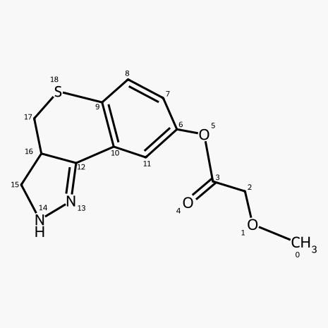 COCC(=O)Oc1ccc2c(c1)C1=NNCC1CS2